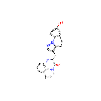 CN(C(=O)C(N)Cc1cnn2c1CCc1cc(O)ccc1-2)c1ccccc1C=O